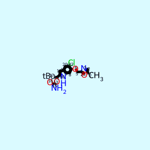 Cc1cnc(COc2cc3[nH]c(C(OC(N)=O)C(C)(C)C)cc3cc2Cl)o1